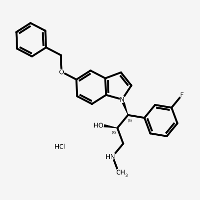 CNC[C@@H](O)[C@H](c1cccc(F)c1)n1ccc2cc(OCc3ccccc3)ccc21.Cl